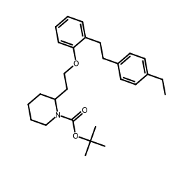 CCc1ccc(CCc2ccccc2OCCC2CCCCN2C(=O)OC(C)(C)C)cc1